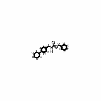 O=C(NCc1ccc(C2CCCCC2)cc1)OCc1ccccc1